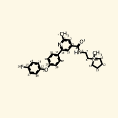 Cc1cc(C(=O)NCC[N+]2(C)CCCC2)cc(-c2ccc(Oc3ccc(F)cc3)cc2)n1